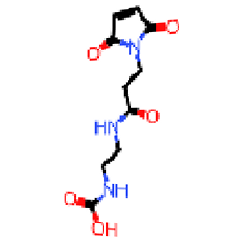 O=C(O)NCCNC(=O)CCN1C(=O)C=CC1=O